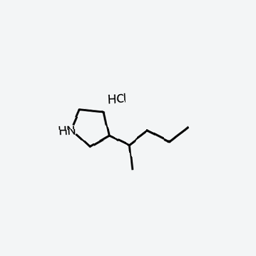 CCCC(C)C1CCNC1.Cl